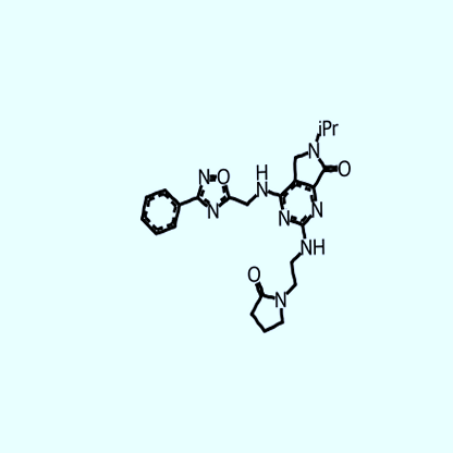 CC(C)N1Cc2c(NCc3nc(-c4ccccc4)no3)nc(NCCN3CCCC3=O)nc2C1=O